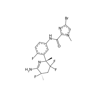 Cn1cc(Br)nc1C(=O)Nc1ccc(F)c([C@@]2(C)N=C(N)[C@](C)(F)CC2(F)F)c1